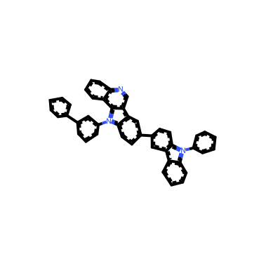 c1ccc(-c2cccc(-n3c4ccc(-c5ccc6c(c5)c5ccccc5n6-c5ccccc5)cc4c4cnc5ccccc5c43)c2)cc1